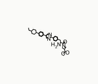 CCC1CCC(c2ccc(-c3cnc(-c4ccc(CC(N)C(=O)N5CC(C(=O)OC)C5)cc4)nc3)cc2)CC1